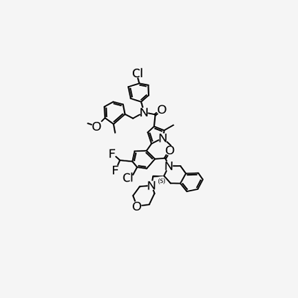 COc1cccc(CN(C(=O)c2cc(-c3cc(C(F)F)c(Cl)cc3C(=O)N3Cc4ccccc4C[C@H]3CN3CCOCC3)n(C)c2C)c2ccc(Cl)cc2)c1C